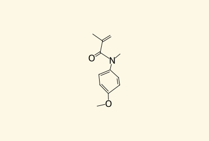 C=C(C)C(=O)N(C)c1ccc(OC)cc1